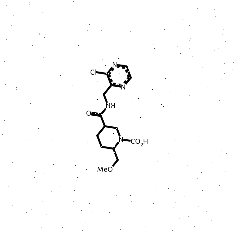 COCC1CCC(C(=O)NCc2nccnc2Cl)CN1C(=O)O